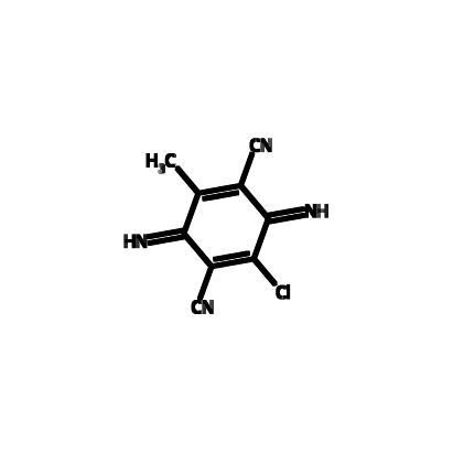 CC1=C(C#N)C(=N)C(Cl)=C(C#N)C1=N